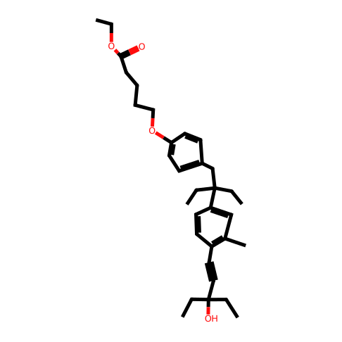 CCOC(=O)CCCCOc1ccc(CC(CC)(CC)c2ccc(C#CC(O)(CC)CC)c(C)c2)cc1